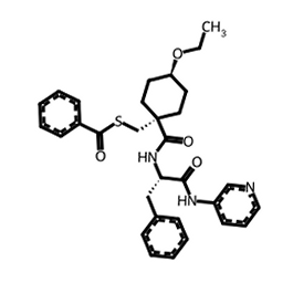 CCO[C@H]1CC[C@@](CSC(=O)c2ccccc2)(C(=O)N[C@@H](Cc2ccccc2)C(=O)Nc2cccnc2)CC1